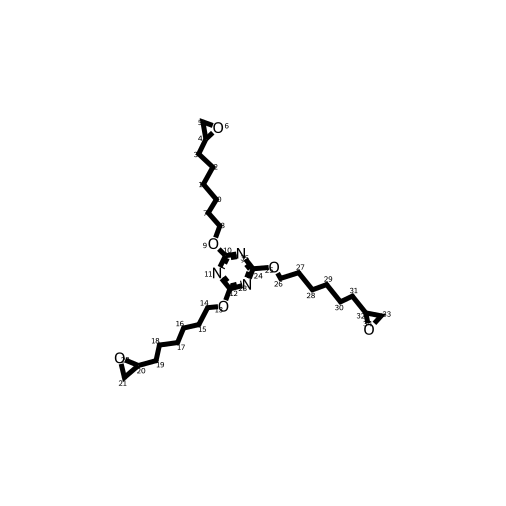 C(CCCC1CO1)CCOc1nc(OCCCCCCC2CO2)nc(OCCCCCCC2CO2)n1